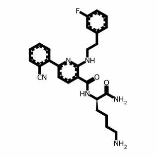 N#Cc1ccccc1-c1ccc(C(=O)N[C@H](CCCCN)C(N)=O)c(NCCc2cccc(F)c2)n1